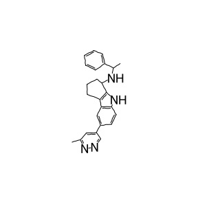 Cc1cc(-c2ccc3[nH]c4c(c3c2)CCCC4NC(C)c2ccccc2)cnn1